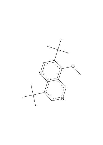 COc1c(C(C)(C)C)cnc2c(C(C)(C)C)cncc12